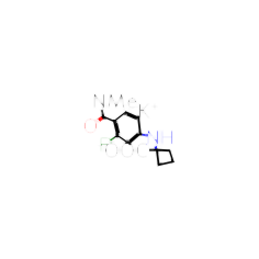 CNC(=O)c1ccc(NC2(C(=O)[O-])CCC2)cc1F.[K+]